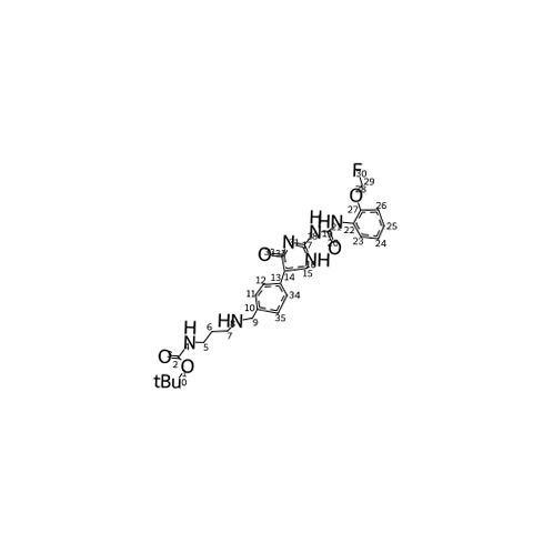 CC(C)(C)OC(=O)NCCCNCc1ccc(-c2c[nH]c(NC(=O)Nc3ccccc3OCF)nc2=O)cc1